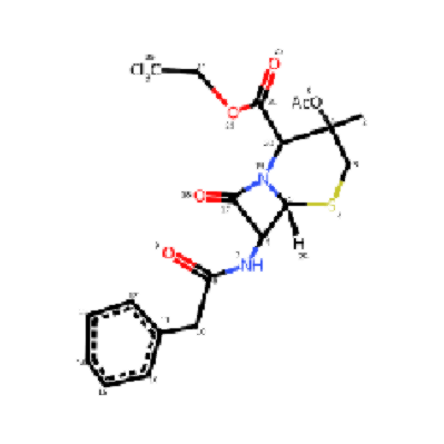 CC(=O)OC1(C)CS[C@@H]2C(NC(=O)Cc3ccccc3)C(=O)N2C1C(=O)OCC(Cl)(Cl)Cl